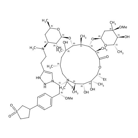 CC[C@H]1OC(=O)[C@H](C)[C@@H](O[C@H]2C[C@@](C)(OC)[C@@H](O)[C@H](C)O2)[C@H](C)[C@@H](O[C@@H]2O[C@H](C)C[C@H](N(C)CCC3=CN([C@H](CF)[C@H](OC)c4ccc(C5CCS(=O)(=O)C5)cc4)NN3)[C@H]2O)[C@](C)(O)C[C@@H](C)CN(C)[C@H](C)[C@@H](O)[C@]1(C)O